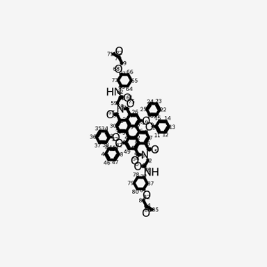 O=C(CN1C(=O)c2cc(Oc3ccccc3)c3c4c(Oc5ccccc5)cc5c6c(cc(Oc7ccccc7)c(c7c(Oc8ccccc8)cc(c2c37)C1=O)c64)C(=O)N(CC(=O)NC1CCCC(OCC2CO2)C1)C5=O)NC1CCCC(OCC2CO2)C1